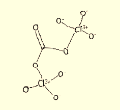 O=C(O[Cl+3]([O-])([O-])[O-])O[Cl+3]([O-])([O-])[O-]